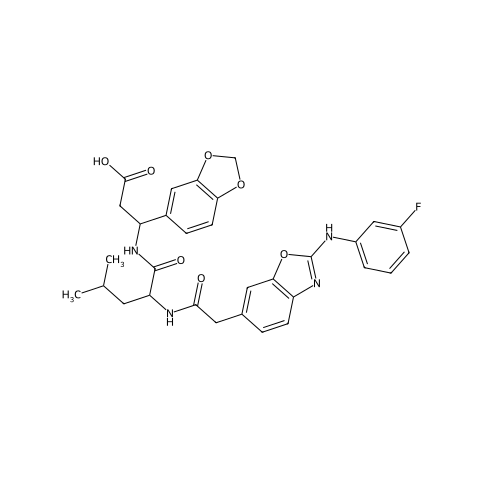 CC(C)CC(NC(=O)Cc1ccc2nc(Nc3cccc(F)c3)oc2c1)C(=O)NC(CC(=O)O)c1ccc2c(c1)OCO2